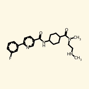 CNCCN(C)C(=O)C1CCC(NC(=O)c2ccc(-c3cccc(F)c3)nc2)CC1